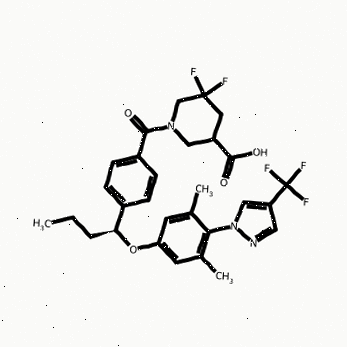 CCC[C@H](Oc1cc(C)c(-n2cc(C(F)(F)F)cn2)c(C)c1)c1ccc(C(=O)N2CC(C(=O)O)CC(F)(F)C2)cc1